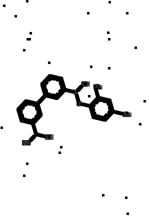 CC(C)(C)c1ccc(OP(O)c2cccc(-c3cccc(P(O)O)c3)c2)c(C(C)(C)C)c1